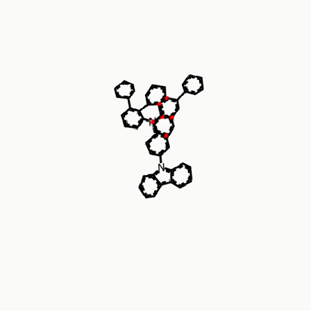 c1ccc(-c2ccc(N(c3ccc(-n4c5ccccc5c5ccccc54)cc3)c3cccc(-c4ccccc4)c3-c3ccccc3-c3ccccc3)cc2)cc1